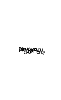 CN(C)C1CCN(c2ccc3c(C(=O)NCC4CCC(F)(F)CC4)c(Cl)ccc3n2)C1